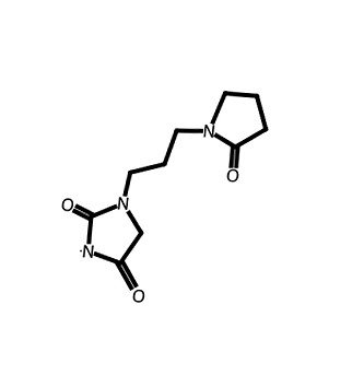 O=C1CN(CCCN2CCCC2=O)C(=O)[N]1